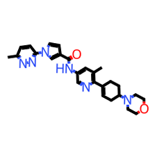 Cc1ccc(-n2ccc(C(=O)Nc3cnc(C4=CCC(N5CCOCC5)CC4)c(C)c3)c2)nn1